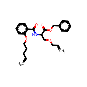 C=CCCCOc1ccccc1C(=O)NC(COCC=C)C(=O)OCc1ccccc1